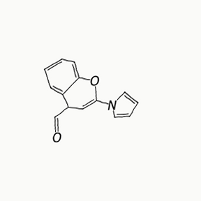 O=CC1C=C(n2cccc2)Oc2ccccc21